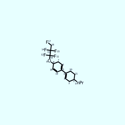 CCCC1CC=C(C2=CCC(OC(F)(F)C(F)(F)CF)C=C2)CC1